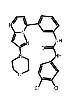 O=C(Nc1cccc(-c2ccnc3cc(N4CCOCC4)nn23)c1)Nc1ccc(Cl)c(Cl)c1